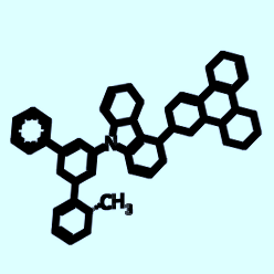 C[C@@H]1CC=CC=C1C1C=C(N2C3=C(C(C4CC=C5C6=C(C=CCC6)C6CCCCC6C5C4)CC=C3)C3CCC=CC32)C=C(c2ccccc2)C1